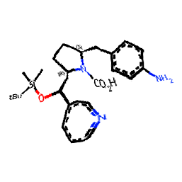 CC(C)(C)[Si](C)(C)OC(c1cccnc1)[C@H]1CC[C@@H](Cc2ccc(N)cc2)N1C(=O)O